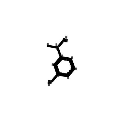 CC(=O)N(C)c1cccc(Br)c1